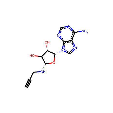 C#CCN[C@H]1O[C@@H](n2cnc3c(N)ncnc32)[C@@H](O)C1O